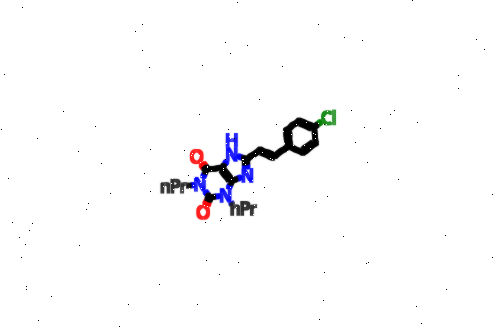 CCCn1c(=O)c2[nH]c(C=Cc3ccc(Cl)cc3)nc2n(CCC)c1=O